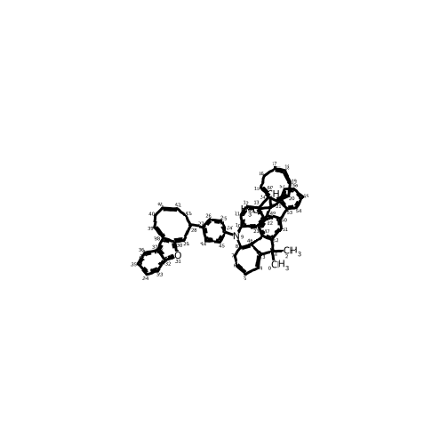 CC1(C)C2=CC=CCC(N(c3ccc(C4=C/CC=C=C/C=C\4)cc3)c3ccc(C4C=c5oc6ccccc6/c5=C/CC=CC4)cc3)=C2c2cc3c(cc21)-c1ccccc1C3(C)C